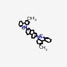 Cc1ccc(Nc2ccc3c(c2)Cc2cc(Nc4ccc(C)cc4-c4ccccc4C)ccc2-3)c(-c2ccccc2C)c1